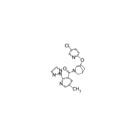 Cc1cnc(-n2nccn2)c(C(=O)N2CC3CCC2C(Oc2ccc(Cl)cn2)C3)c1